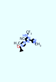 C[C@@H]1CN(c2nc(-c3cnn(C)c3)nc(NCC(F)(F)F)c2C#N)CCN1C(=O)C1CC1